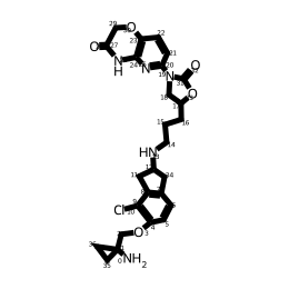 NC1(COc2ccc3c(c2Cl)CC(NCCCC2CN(c4ccc5c(n4)NC(=O)CO5)C(=O)O2)C3)CC1